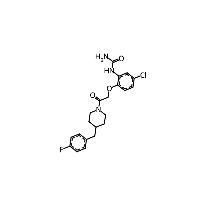 NC(=O)Nc1cc(Cl)ccc1OCC(=O)N1CCC(Cc2ccc(F)cc2)CC1